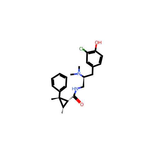 C[C@H]1[C@@H](C(=O)NC[C@H](Cc2ccc(O)c(Cl)c2)N(C)C)[C@@]1(C)c1ccccc1